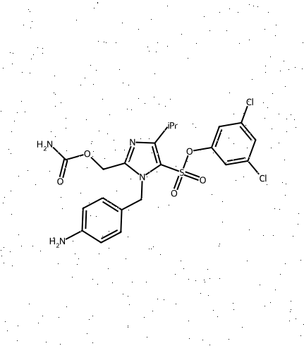 CC(C)c1nc(COC(N)=O)n(Cc2ccc(N)cc2)c1S(=O)(=O)Oc1cc(Cl)cc(Cl)c1